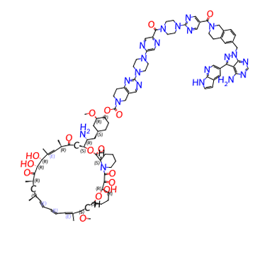 CO[C@H]1C[C@@H]2CC[C@@H](C)[C@@](O)(O2)C(=O)C(=O)N2CCCC[C@H]2C(=O)O[C@H]([C@H](N)C[C@@H]2CC[C@@H](OC(=O)N3CCc4nc(N5CCN(c6cnc(C(=O)N7CCN(c8ncc(C(=O)N9CCc%10cc(Cn%11nc(-c%12cnc%13[nH]ccc%13c%12)c%12c(N)ncnc%12%11)ccc%10C9)cn8)CC7)cn6)CC5)ncc4C3)[C@H](OC)C2)CC(=O)[C@H](C)/C=C(\C)[C@@H](O)[C@@H](O)C(=O)[C@H](C)C[C@H](C)/C=C/C=C/C=C/1C